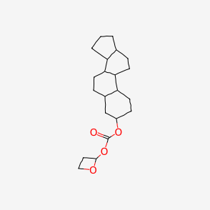 O=C(OC1CCC2C(CCC3C4CCCC4CCC23)C1)OC1CCO1